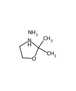 CC1(C)NCCO1.N